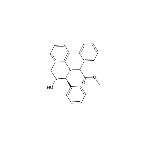 COC(=O)C(c1ccccc1)N1c2ccccc2CN(O)[C@@H]1c1ccccc1